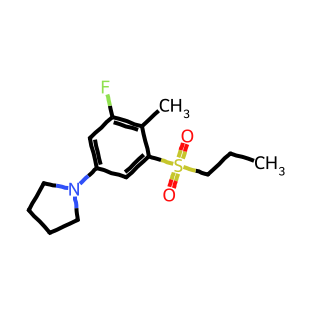 CCCS(=O)(=O)c1cc(N2CCCC2)cc(F)c1C